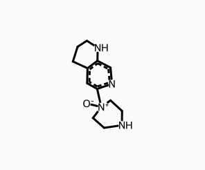 [O-][N+]1(c2cc3c(cn2)NCCC3)CCNCC1